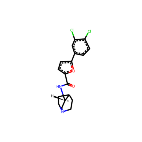 O=C(N[C@H]1CN2CCC1CC2)c1ccc(-c2ccc(Cl)c(Cl)c2)o1